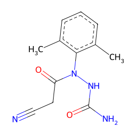 Cc1cccc(C)c1N(NC(N)=O)C(=O)CC#N